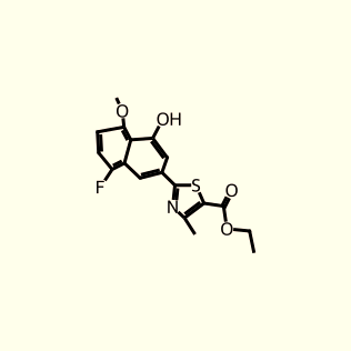 CCOC(=O)c1sc(-c2cc(O)c3c(OC)ccc(F)c3c2)nc1C